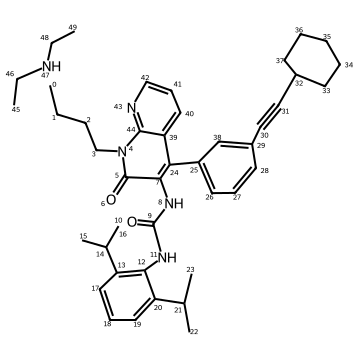 CCCCn1c(=O)c(NC(=O)Nc2c(C(C)C)cccc2C(C)C)c(-c2cccc(C#CC3CCCCC3)c2)c2cccnc21.CCNCC